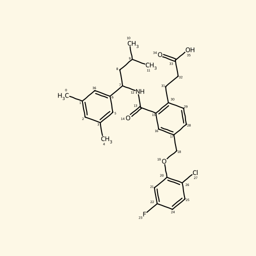 Cc1cc(C)cc(C(CC(C)C)NC(=O)c2cc(COc3cc(F)ccc3Cl)ccc2CCC(=O)O)c1